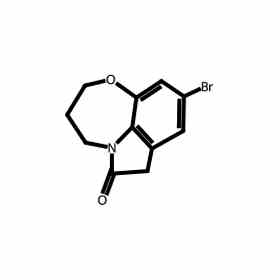 O=C1Cc2cc(Br)cc3c2N1CCCO3